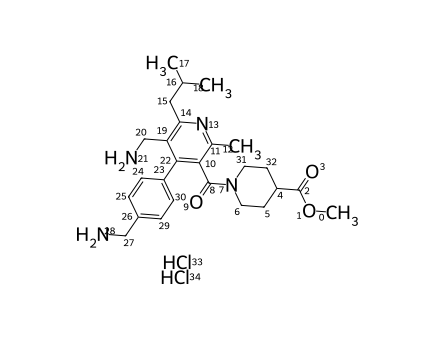 COC(=O)C1CCN(C(=O)c2c(C)nc(CC(C)C)c(CN)c2-c2ccc(CN)cc2)CC1.Cl.Cl